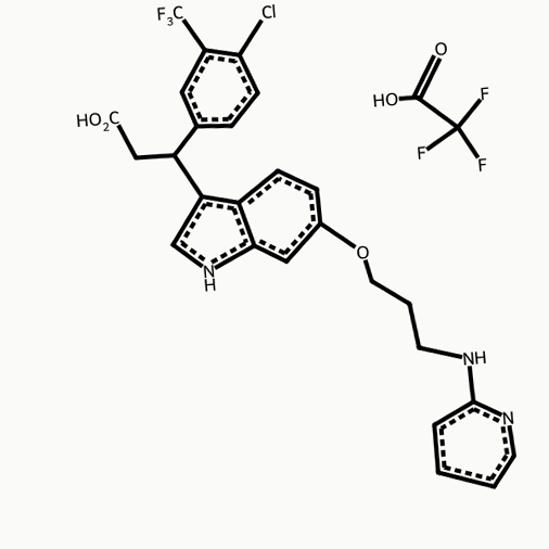 O=C(O)C(F)(F)F.O=C(O)CC(c1ccc(Cl)c(C(F)(F)F)c1)c1c[nH]c2cc(OCCCNc3ccccn3)ccc12